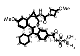 COc1ccc2c(c1)C1CC1(NC(=O)N1CC(OC)C1)Cn1c-2c(C2CCCCC2)c2ccc(C(=O)NS(=O)(=O)N(C)C)cc21